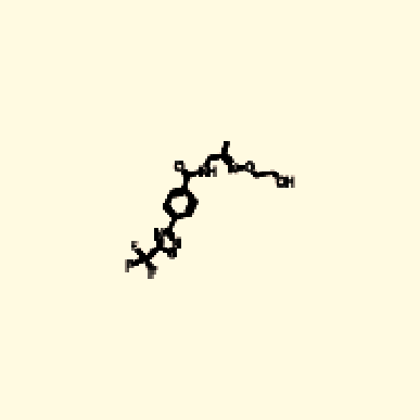 CC(CNC(=O)c1ccc(-c2noc(C(F)(F)F)n2)cc1)=NOCCO